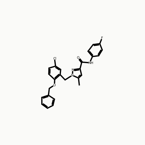 Cc1cc(C(=O)Nc2ccc(F)cc2)nn1Cc1cc(Cl)ccc1OCc1ccccc1